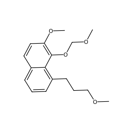 COCCCc1cccc2ccc(OC)c(OCOC)c12